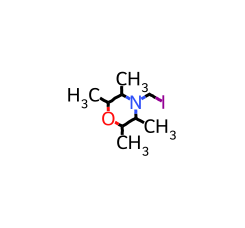 CC1OC(C)C(C)N(CI)C1C